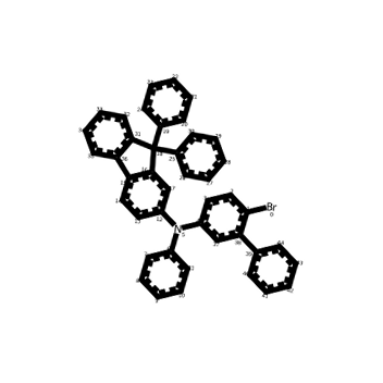 Brc1ccc(N(c2ccccc2)c2ccc3c(c2)C(c2ccccc2)(c2ccccc2)c2ccccc2-3)cc1-c1ccccc1